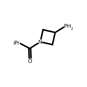 CC(C)C(=O)N1CC(P)C1